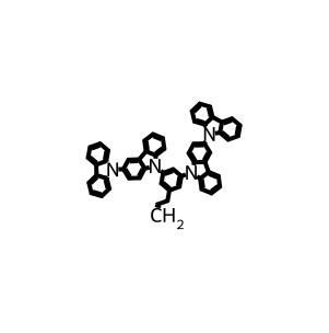 C=CCc1cc(-n2c3ccccc3c3cc(-n4c5ccccc5c5ccccc54)ccc32)cc(-n2c3ccccc3c3cc(-n4c5ccccc5c5ccccc54)ccc32)c1